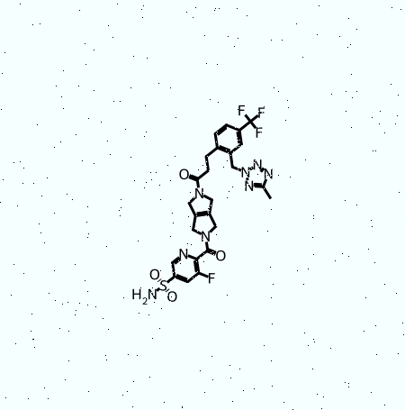 Cc1nnn(Cc2cc(C(F)(F)F)ccc2CCC(=O)N2CC3=C(C2)CN(C(=O)c2ncc(S(N)(=O)=O)cc2F)C3)n1